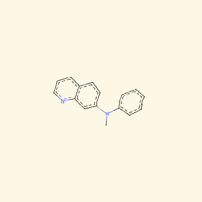 CN(c1ccccc1)c1ccc2cccnc2c1